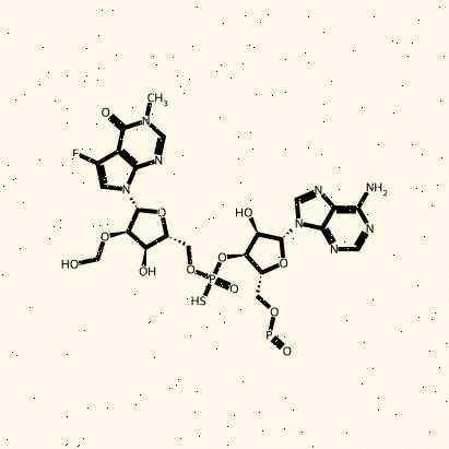 Cn1cnc2c(c(F)cn2[C@@H]2O[C@H](COP(=O)(S)O[C@H]3[C@@H](O)[C@H](n4cnc5c(N)ncnc54)O[C@@H]3COP=O)[C@@H](O)[C@H]2OCO)c1=O